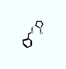 CCN1CCC[C@H]1COCc1ccccc1